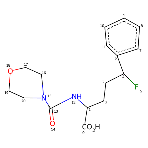 O=C(O)C(CCC(F)c1ccccc1)NC(=O)N1CCOCC1